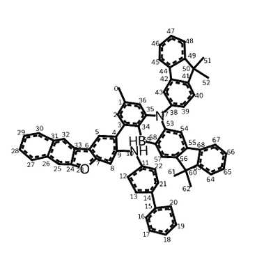 Cc1cc(-c2cc3c(cc2Nc2ccc(-c4ccccc4)cc2)oc2cc4ccccc4cc23)c2c(c1)N(c1ccc3c(c1)-c1ccccc1C3(C)C)c1cc3c(cc1B2)C(C)(C)c1ccccc1-3